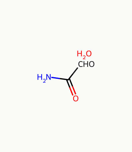 NC(=O)C=O.O